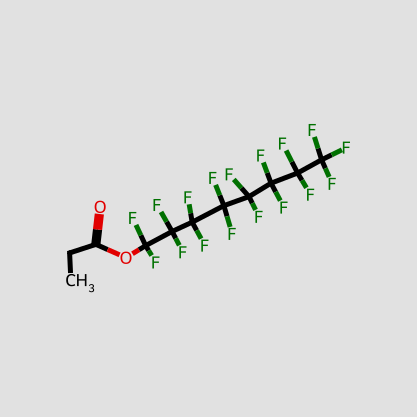 CCC(=O)OC(F)(F)C(F)(F)C(F)(F)C(F)(F)C(F)(F)C(F)(F)C(F)(F)C(F)(F)F